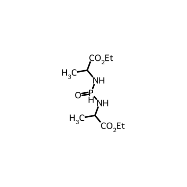 CCOC(=O)C(C)N[PH](=O)NC(C)C(=O)OCC